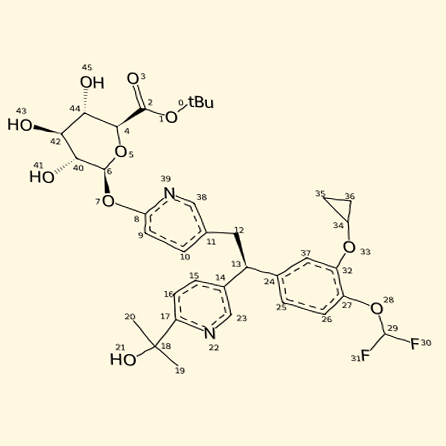 CC(C)(C)OC(=O)[C@H]1O[C@@H](Oc2ccc(C[C@H](c3ccc(C(C)(C)O)nc3)c3ccc(OC(F)F)c(OC4CC4)c3)cn2)[C@H](O)[C@@H](O)[C@@H]1O